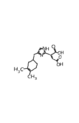 CC1=C(C)CC(Cc2c[nH]c(C(=CC(=O)O)C(=O)O)n2)CC1